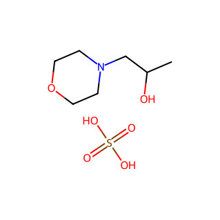 CC(O)CN1CCOCC1.O=S(=O)(O)O